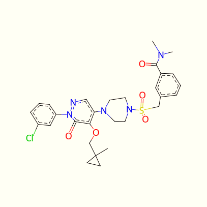 CN(C)C(=O)c1cccc(CS(=O)(=O)N2CCN(c3cnn(-c4cccc(Cl)c4)c(=O)c3OCC3(C)CC3)CC2)c1